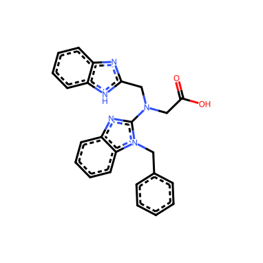 O=C(O)CN(Cc1nc2ccccc2[nH]1)c1nc2ccccc2n1Cc1ccccc1